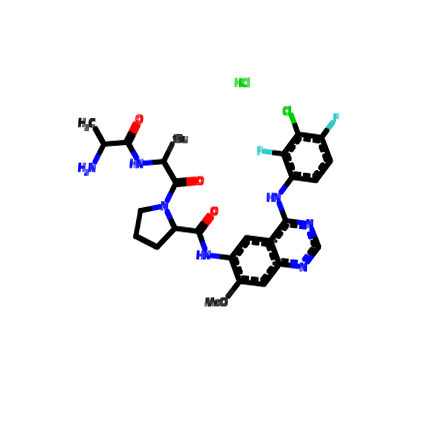 COc1cc2ncnc(Nc3ccc(F)c(Cl)c3F)c2cc1NC(=O)C1CCCN1C(=O)C(NC(=O)C(C)N)C(C)(C)C.Cl